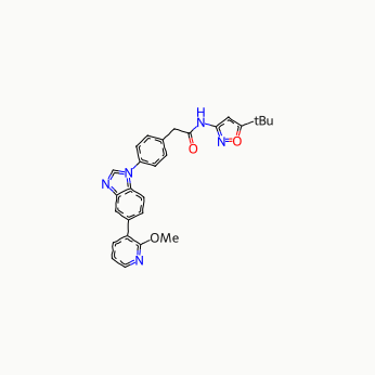 COc1ncccc1-c1ccc2c(c1)ncn2-c1ccc(CC(=O)Nc2cc(C(C)(C)C)on2)cc1